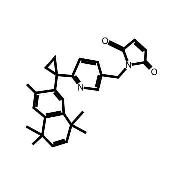 Cc1cc2c(cc1C1(c3ccc(CN4C(=O)C=CC4=O)cn3)CC1)C(C)(C)C=CC2(C)C